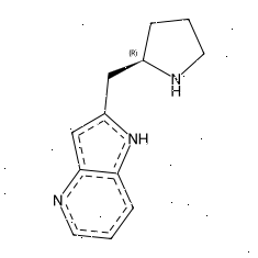 c1cnc2cc(C[C@H]3CCCN3)[nH]c2c1